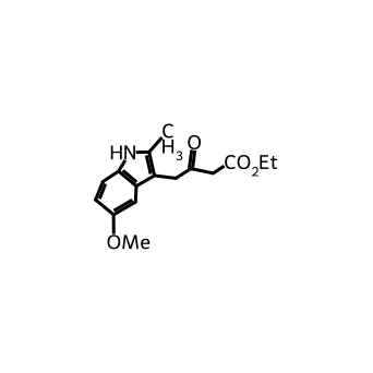 CCOC(=O)CC(=O)Cc1c(C)[nH]c2ccc(OC)cc12